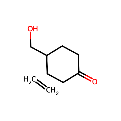 C=C.O=C1CCC(CO)CC1